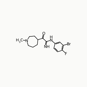 CN1CCCC(C(=O)C(=N)Nc2ccc(F)c(Br)c2)CC1